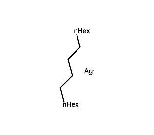 CCCCCCCCCCCCCCCC.[Ag]